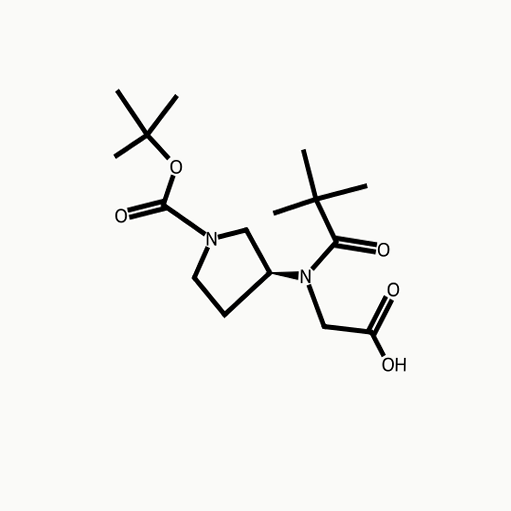 CC(C)(C)OC(=O)N1CC[C@H](N(CC(=O)O)C(=O)C(C)(C)C)C1